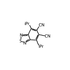 CC(C)c1c(C#N)c(C#N)c(C(C)C)c2nsnc12